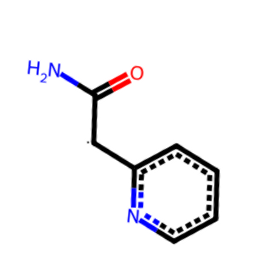 NC(=O)[CH]c1ccccn1